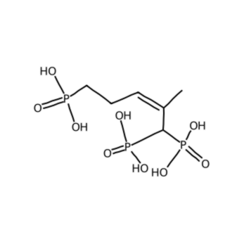 CC(=CCCP(=O)(O)O)C(P(=O)(O)O)P(=O)(O)O